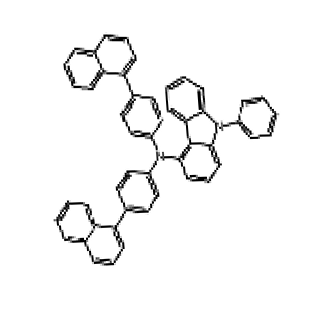 c1ccc(-n2c3ccccc3c3c(N(c4ccc(-c5cccc6ccccc56)cc4)c4ccc(-c5cccc6ccccc56)cc4)cccc32)cc1